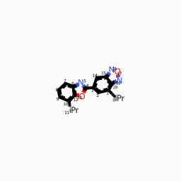 CC(C)c1cc(-c2nc3cccc(C(C)C)c3o2)cc2nonc12